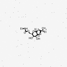 CCNC(=O)OC[C@H]1O[C@@H]2SC(N(C)CC)=N[C@@H]2[C@@H](O)[C@H]1O